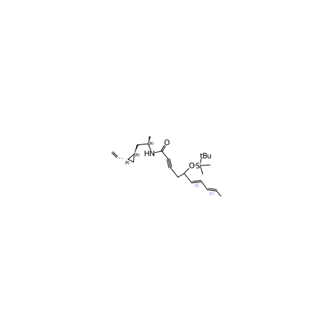 C=C[C@H]1C[C@@H]1C[C@@H](C)NC(=O)C#CCC(/C=C/C=C/C)O[Si](C)(C)C(C)(C)C